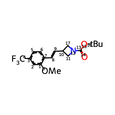 COc1cc(C(F)(F)F)ccc1C=CC1CN(C(=O)OC(C)(C)C)C1